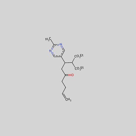 C=CCCC(=O)CC(c1cnc(C)nc1)C(C(=O)OCC)C(=O)OCC